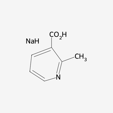 Cc1ncccc1C(=O)O.[NaH]